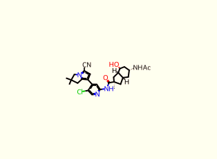 CC(=O)N[C@@H]1C[C@@H]2C[C@@](C)(C(=O)Nc3cc(-c4cc(C#N)n5c4CC(C)(C)C5)c(Cl)cn3)C[C@@H]2[C@@H](O)C1